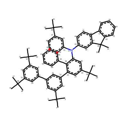 CC(C)(C)c1cc(-c2cc(C(C)(C)C)cc(C(C)(C)C)c2)cc(-c2cc(C(C)(C)C)cc(N(c3cccc(C(C)(C)C)c3)c3ccc4c(c3)C(C)(C)c3ccccc3-4)c2-c2ccccc2)c1